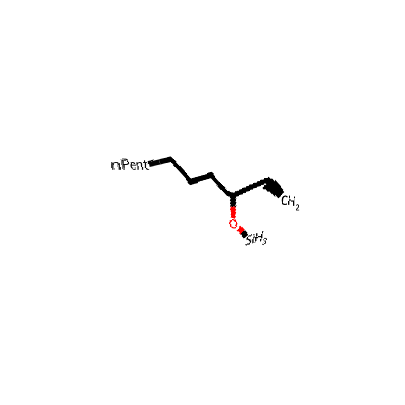 C=CC(CCCCCCCC)O[SiH3]